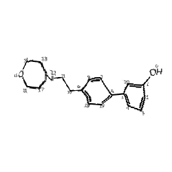 Oc1cccc(-c2ccc(CCN3CCOCC3)cc2)c1